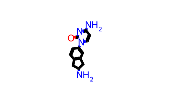 Nc1ccn(-c2ccc3c(c2)CC(N)C3)c(=O)n1